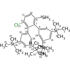 C[Si](C)(C)c1cc(-c2c([SiH3])ccc(Cl)c2-c2cc([Si](C)(C)C)cc([Si](C)(C)C)c2)cc([Si](C)(C)C)c1